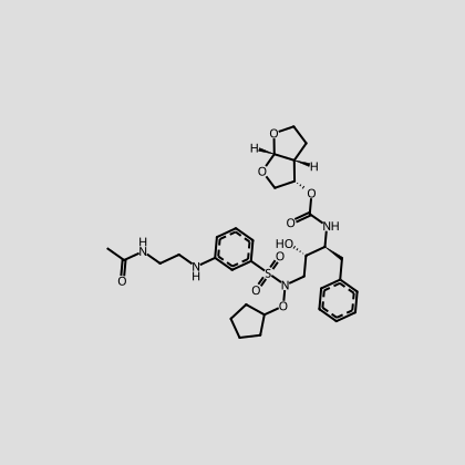 CC(=O)NCCNc1cccc(S(=O)(=O)N(C[C@H](O)[C@H](Cc2ccccc2)NC(=O)O[C@@H]2CO[C@@H]3OCC[C@@H]32)OC2CCCC2)c1